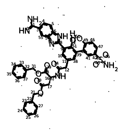 N=C(N)c1ccc2[nH]c(-c3cc(CC(=O)N[C@@H](CC(=O)OCc4ccccc4)C(=O)OCc4ccccc4)cc(-c4cc(S(N)(=O)=O)ccc4O)c3O)nc2c1